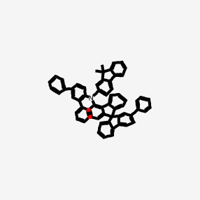 CC1(C)c2ccccc2-c2ccc(N(c3ccc(-c4ccccc4)cc3-c3ccccc3)c3cccc4c3-c3ccccc3C43c4ccccc4-c4ccc(-c5ccccc5)cc43)cc21